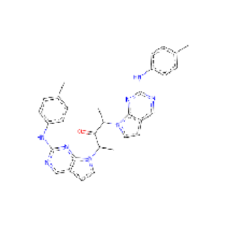 Cc1ccc(Nc2ncc3ccn(C(C)C(=O)C(C)n4ccc5cnc(Nc6ccc(C)cc6)nc54)c3n2)cc1